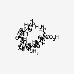 CC(C)C[C@H](NC(=O)CNC(=O)CN)C(=O)NCC(=O)N1CCC[C@H]1C(=O)N[C@@H](C)C(=O)NCC(=O)NCC(=O)N[C@@H](CCCCN)C(=O)O